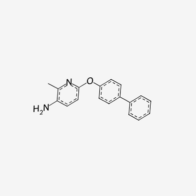 Cc1nc(Oc2ccc(-c3ccccc3)cc2)ccc1N